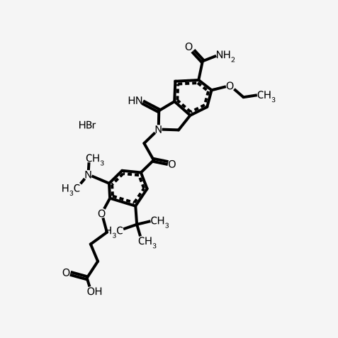 Br.CCOc1cc2c(cc1C(N)=O)C(=N)N(CC(=O)c1cc(N(C)C)c(OCCCC(=O)O)c(C(C)(C)C)c1)C2